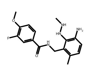 CNNc1c(N)ccc(C)c1CNC(=O)c1ccc(OC)c(F)c1